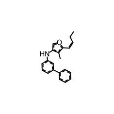 CC/C=C\c1occ(Nc2cccc(-c3ccccc3)c2)c1C